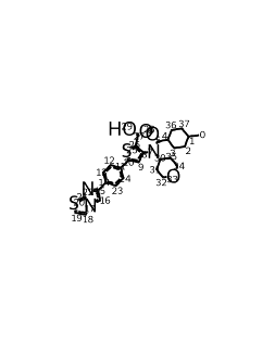 CC1CCC(C(=O)N(c2cc(-c3ccc(-c4cn5ccsc5n4)cc3)sc2C(=O)O)C2CCOCC2)CC1